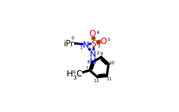 CC(C)N1NS1(=O)=O.Cc1ccccc1